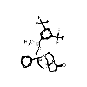 C[C@@H](OC[C@@]1(c2ccccc2)CC[C@@]23CCC(=O)N2CCN1C3)c1cc(C(F)(F)F)cc(C(F)(F)F)c1